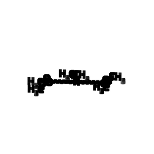 CCCCC(CC)C(=O)OCCCCCCCCCCCCN(CCCCCCCCCCCCOC(=O)C(CC)CCCC)CCN(C)C